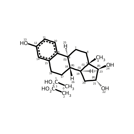 CC(=O)O.CC(=O)O.C[C@]12CC[C@@H]3c4ccc(O)cc4CC[C@H]3[C@@H]1C[C@@H](O)[C@@H]2O